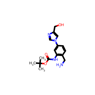 CC(C)(C)OC(=O)Nc1cc(-n2cnc(CO)c2)ccc1CN